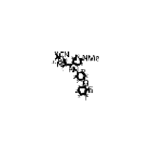 CNc1cc2c(cn1)c(-c1cnn(C(C)(C)C#N)c1)nn2[C@H]1CC[C@@H](Oc2cccc(F)c2F)CC1